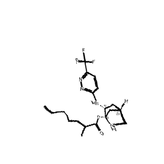 CCCCCC(C)C(=O)O[C@]12C[C@@H](CN1)C[C@H]2Nc1ccc(C(F)(F)F)nn1